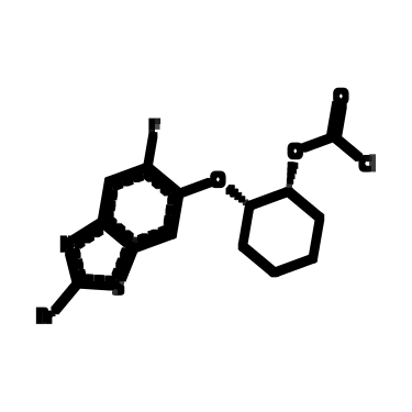 O=C(Cl)O[C@@H]1CCCC[C@@H]1Oc1cc2sc(Br)nc2cc1F